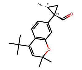 C[C@@H]1C[C@]1(C=O)c1ccc2c(c1)OC(C)(C)C=C2C(C)(C)C